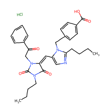 CCCCc1ncc(C=C2C(=O)N(CCCC)C(=O)N2CC(=O)c2ccccc2)n1Cc1ccc(C(=O)O)cc1.Cl